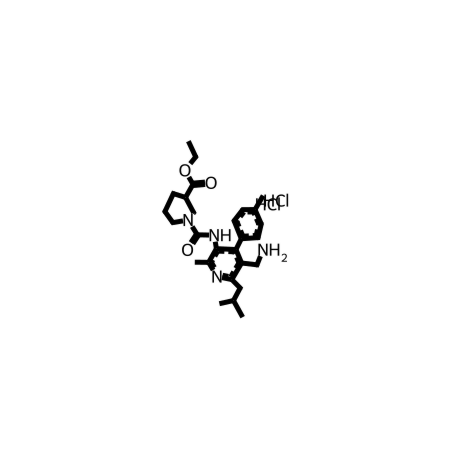 CCOC(=O)C1CCCN(C(=O)Nc2c(C)nc(CC(C)C)c(CN)c2-c2ccc(C)cc2)C1.Cl.Cl